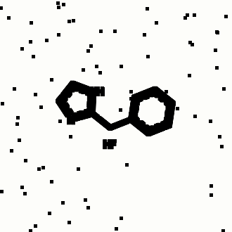 F.c1ccc(Cc2ncc[nH]2)cc1